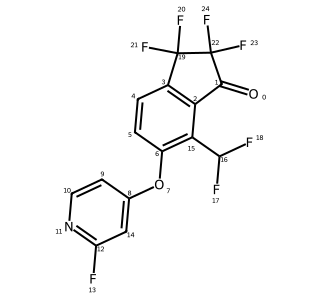 O=C1c2c(ccc(Oc3ccnc(F)c3)c2C(F)F)C(F)(F)C1(F)F